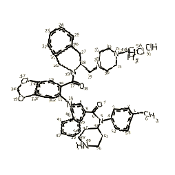 Cc1ccc(N(C(=O)c2cn(-c3cc4c(cc3C(=O)N3Cc5ccccc5C[C@H]3CN3CCN(C)CC3)OCO4)c3ccccc23)C2CCNCC2)cc1.Cl.Cl